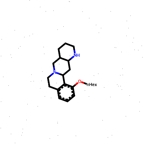 CCCCCCOc1cccc2c1C1CC3NCCCC3CN1CC2